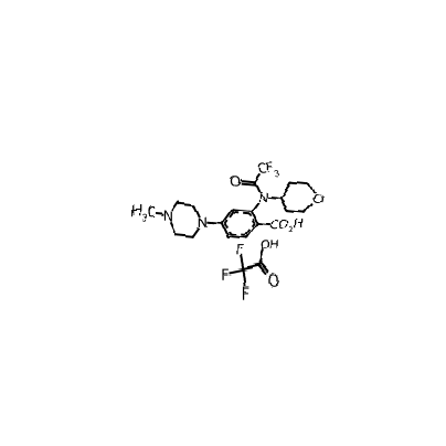 CN1CCN(c2ccc(C(=O)O)c(N(C(=O)C(F)(F)F)C3CCOCC3)c2)CC1.O=C(O)C(F)(F)F